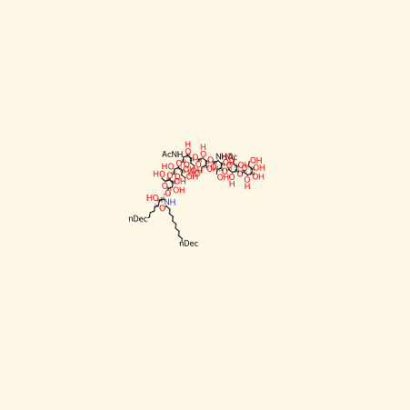 CCCCCCCCCCCCC/C=C/[C@@H](O)[C@H](CO[C@@H]1OC(CO)[C@@H](O[C@@H]2OC(CO)[C@H](O)[C@H](O[C@@H]3OC(CO)[C@@H](O[C@@H]4OC(CO)[C@H](O)[C@H](O[C@@H]5OC(CO)[C@@H](O[C@@H]6OC(CO)[C@H](O)[C@H](O[C@H]7OC(CO)[C@H](O)[C@H](O)C7O)C6O)[C@H](O)C5NC(C)=O)C4O)[C@H](O)C3NC(C)=O)C2O)[C@H](O)C1O)NC(=O)CCCCCCCCCCCCCCCCCCC